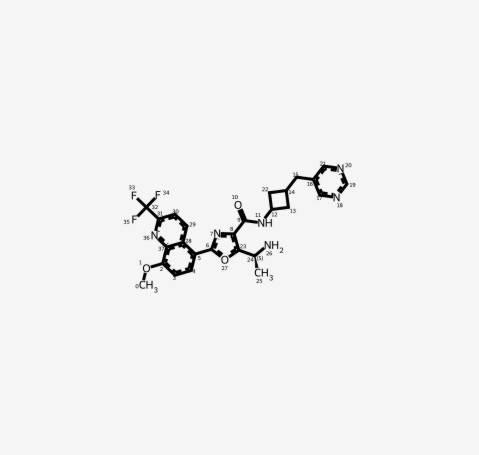 COc1ccc(-c2nc(C(=O)NC3CC(Cc4cncnc4)C3)c([C@H](C)N)o2)c2ccc(C(F)(F)F)nc12